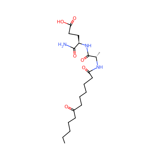 CCCCCC(=O)CCCCCC(=O)N[C@@H](C)C(=O)N[C@H](CCC(=O)O)C(N)=O